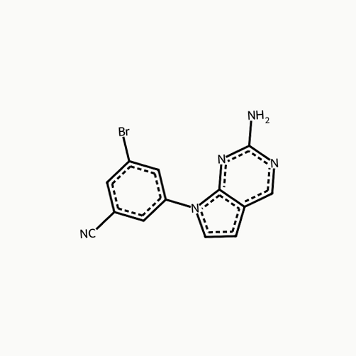 N#Cc1cc(Br)cc(-n2ccc3cnc(N)nc32)c1